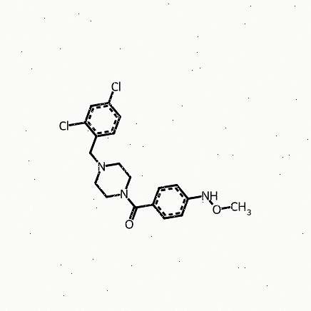 CONc1ccc(C(=O)N2CCN(Cc3ccc(Cl)cc3Cl)CC2)cc1